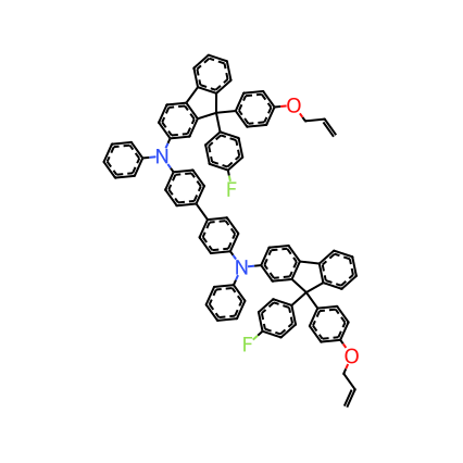 C=CCOc1ccc(C2(c3ccc(F)cc3)c3ccccc3-c3ccc(N(c4ccccc4)c4ccc(-c5ccc(N(c6ccccc6)c6ccc7c(c6)C(c6ccc(F)cc6)(c6ccc(OCC=C)cc6)c6ccccc6-7)cc5)cc4)cc32)cc1